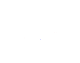 O=C(O)NC1CCCC1Oc1ccc(Br)cc1